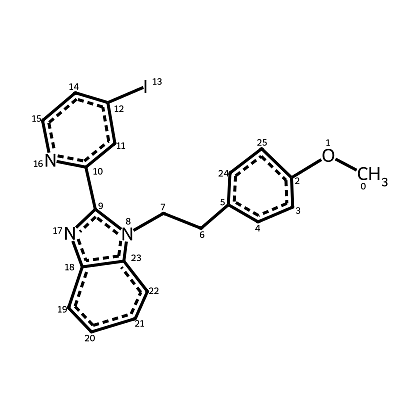 COc1ccc(CCn2c(-c3cc(I)ccn3)nc3ccccc32)cc1